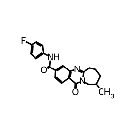 CC1CCCc2nc3cc(C(=O)Nc4ccc(F)cc4)ccc3c(=O)n2C1